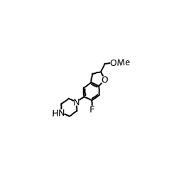 COCC1Cc2cc(N3CCNCC3)c(F)cc2O1